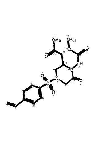 C=Cc1ccc(S(=O)(=O)N2CC(=O)N(NC(=O)OC(C)(C)C)C(CC(=O)OC)C2)cc1